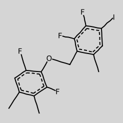 Cc1cc(F)c(OCc2c(C)cc(I)c(F)c2F)c(F)c1C